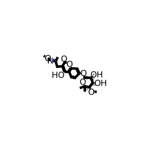 CO/N=C(\C)Cc1c(O)c2ccc(O[C@@H]3OC(C)(C)[C@H](OC)[C@@H](O)[C@H]3O)cc2oc1=O